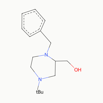 CC(C)(C)N1CCN(Cc2ccccc2)C(CO)C1